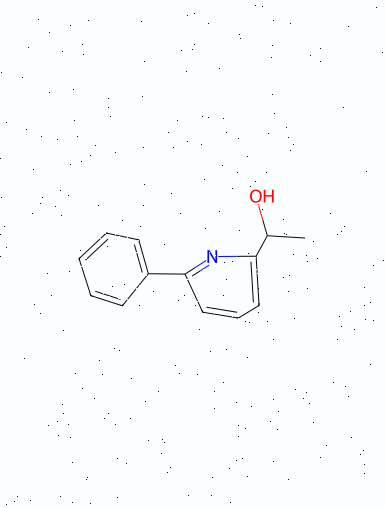 CC(O)c1cccc(-c2ccccc2)n1